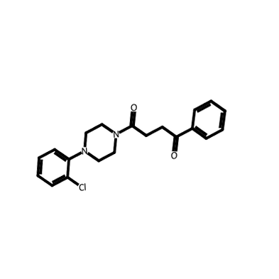 O=C(CCC(=O)N1CCN(c2ccccc2Cl)CC1)c1ccccc1